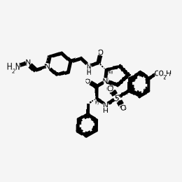 NN=CN1CCC(CNC(=O)[C@@H]2CCCN2C(=O)[C@@H](Cc2ccccc2)NS(=O)(=O)c2ccc(C(=O)O)cc2)CC1